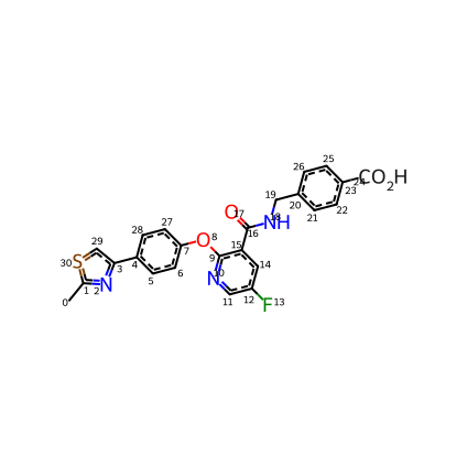 Cc1nc(-c2ccc(Oc3ncc(F)cc3C(=O)NCc3ccc(C(=O)O)cc3)cc2)cs1